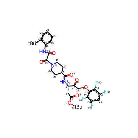 CC(C)(C)OC(=O)C[C@H](NC(=O)C1CCN(C(=O)C(=O)Nc2ccccc2C(C)(C)C)CC1)C(=O)COc1c(F)c(F)cc(F)c1F